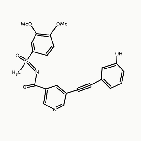 COc1ccc(S(C)(=O)=NC(=O)c2cncc(C#Cc3cccc(O)c3)c2)cc1OC